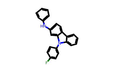 Fc1ccc(-n2c3ccccc3c3ccc(Nc4ccccc4)cc32)cc1